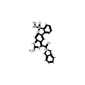 CCNS(=O)(=O)c1ccccc1-c1ccc2nc(N)nc(C(=O)N3Cc4ccccc4C3)c2c1